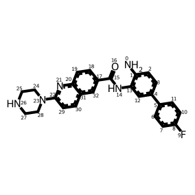 Nc1ccc(-c2ccc(F)cc2)cc1NC(=O)c1ccc2nc(N3CCNCC3)ccc2c1